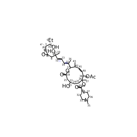 CC[C@H](O)[C@@H](C)[C@H]1O[C@@H]1CC(C)(O)/C=C/C=C(\C)C1OC(=O)CC(O)CCC(C)(OC(=O)N2CCN(C)CC2)C(OC(C)=O)C=CC1C